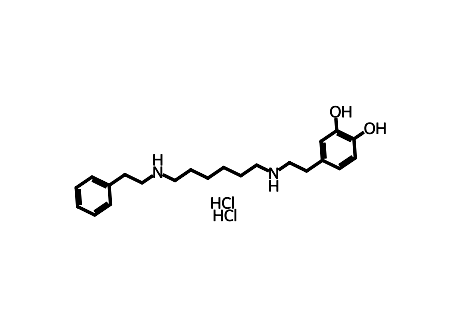 Cl.Cl.Oc1ccc(CCNCCCCCCNCCc2ccccc2)cc1O